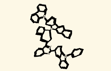 c1ccc(-n2c3ccccc3c3cc(-c4nc(-c5cc(-n6c7cc(-n8c9ccccc9c9ccccc98)ccc7c7cc8ccccc8cc76)c6ccccc6c5)c5ccccc5n4)ccc32)cc1